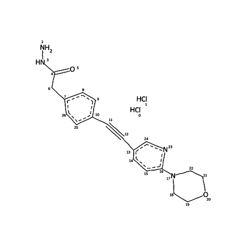 Cl.Cl.NNC(=O)Cc1ccc(C#Cc2ccc(N3CCOCC3)nc2)cc1